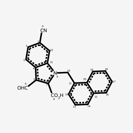 N#Cc1ccc2c(C=O)c(C(=O)O)n(Cc3cccc4ccccc34)c2c1